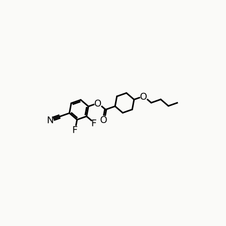 CCCCOC1CCC(C(=O)Oc2ccc(C#N)c(F)c2F)CC1